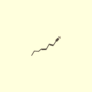 CCC/C=C/C=C/C#N